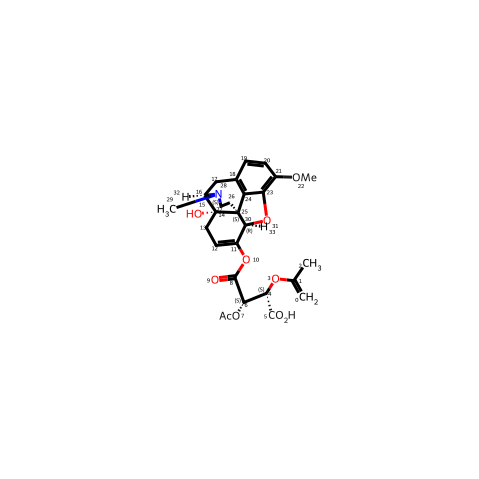 C=C(C)O[C@H](C(=O)O)[C@H](OC(C)=O)C(=O)OC1=CC[C@@]2(O)[C@H]3Cc4ccc(OC)c5c4[C@@]2(CCN3C)[C@H]1O5